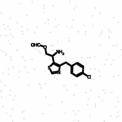 NC(COC=O)c1scnc1Cc1ccc(Cl)cc1